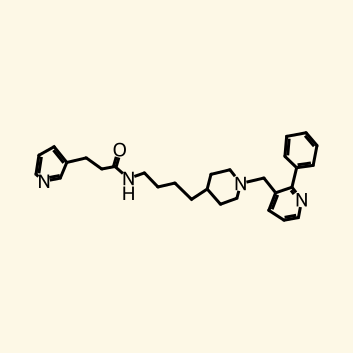 O=C(CCc1cccnc1)NCCCCC1CCN(Cc2cccnc2-c2ccccc2)CC1